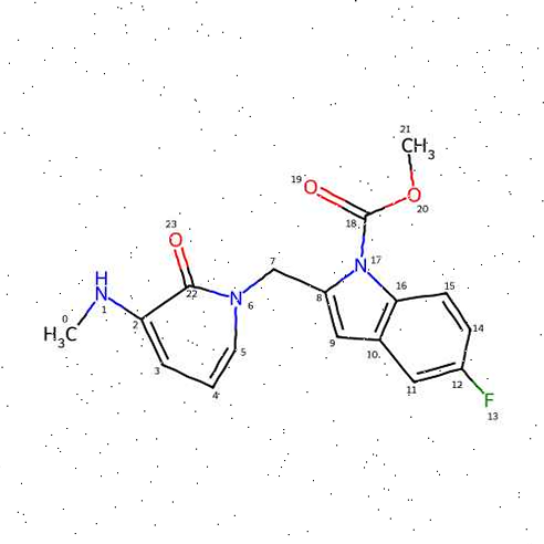 CNc1cccn(Cc2cc3cc(F)ccc3n2C(=O)OC)c1=O